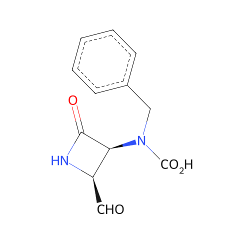 O=C[C@H]1NC(=O)[C@H]1N(Cc1ccccc1)C(=O)O